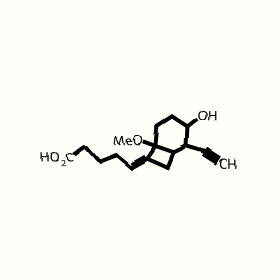 C#CC1C(O)CCC2(OC)C(=CCCCC(=O)O)CC12